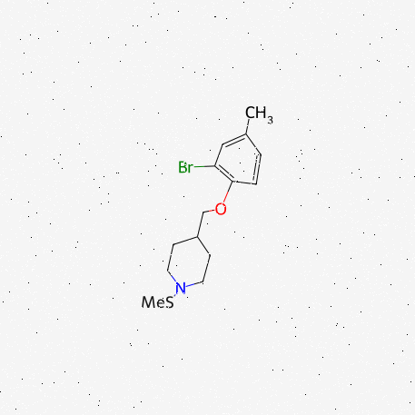 CSN1CCC(COc2ccc(C)cc2Br)CC1